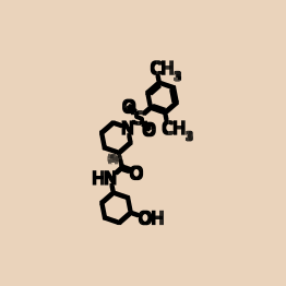 Cc1ccc(C)c(S(=O)(=O)N2CCC[C@H](C(=O)NC3CCCC(O)C3)C2)c1